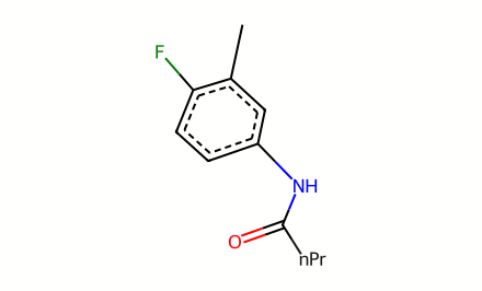 CCCC(=O)Nc1ccc(F)c(C)c1